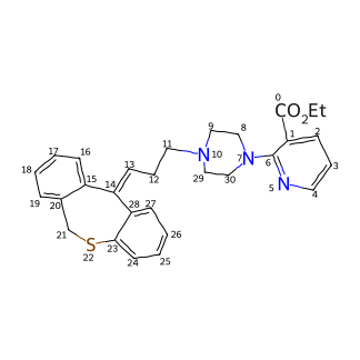 CCOC(=O)c1cccnc1N1CCN(CCC=C2c3ccccc3CSc3ccccc32)CC1